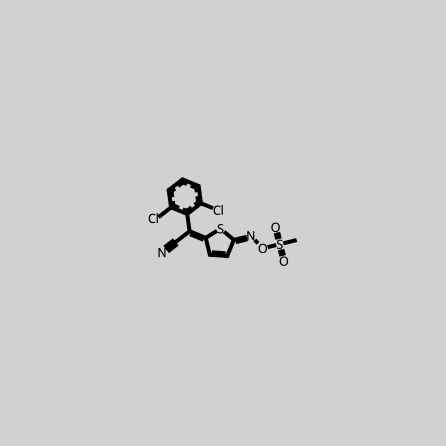 CS(=O)(=O)O/N=C1C=C/C(=C(\C#N)c2c(Cl)cccc2Cl)S\1